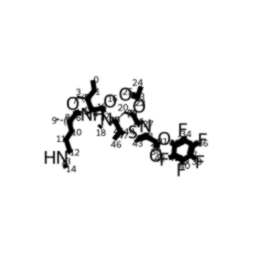 CC[C@H](C)[C@H](NC(=O)[C@@H](C)CCCNC)C(=O)N(C)[C@H](C[C@@H](OC(C)=O)c1nc(C(=O)Oc2c(F)c(F)c(F)c(F)c2F)cs1)C(C)C